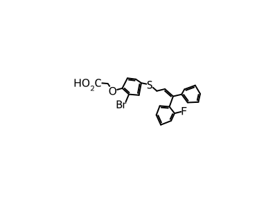 O=C(O)COc1ccc(SC/C=C(/c2ccccc2)c2ccccc2F)cc1Br